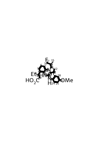 CC[C@@H](CC(=O)O)c1cccc(N2CCC[C@H]2[C@H](C)CF)c1NC(=O)Nc1ccc(OC)cc1F